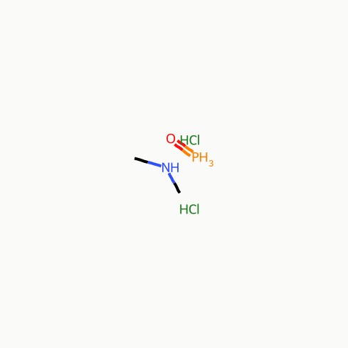 CNC.Cl.Cl.O=[PH3]